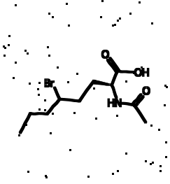 CCCC(Br)CC[C@H](NC(C)=O)C(=O)O